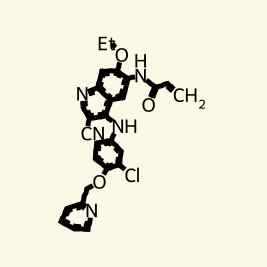 C=CC(=O)Nc1cc2c(Nc3ccc(OCc4ccccn4)c(Cl)c3)c(C#N)cnc2cc1OCC